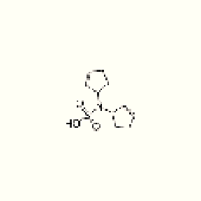 O=S(=O)(O)N(C1C=CCC1)C1C=CCC1